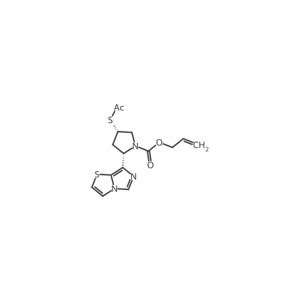 C=CCOC(=O)N1C[C@@H](SC(C)=O)C[C@H]1c1ncn2ccsc12